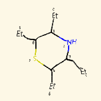 CCC1NC(CC)C(CC)SC1CC